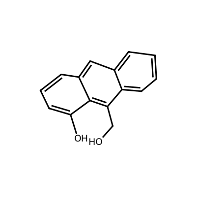 OCc1c2ccccc2cc2cccc(O)c12